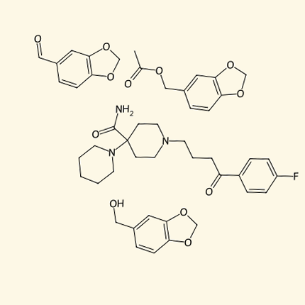 CC(=O)OCc1ccc2c(c1)OCO2.NC(=O)C1(N2CCCCC2)CCN(CCCC(=O)c2ccc(F)cc2)CC1.O=Cc1ccc2c(c1)OCO2.OCc1ccc2c(c1)OCO2